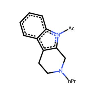 CCCN1CCc2c(n(C(C)=O)c3ccccc23)C1